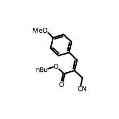 CCCCOC(=O)C(=Cc1ccc(OC)cc1)CC#N